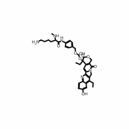 CCc1c2c(nc3ccc(O)cc13)-c1cc3c(c(=O)n1C2)COC(=O)C3(CC)OC(O)OCc1ccc(NC(=O)C(CCCCN)NC)cc1